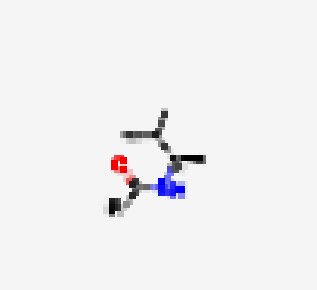 C=C(C)[C@@H](C)NC(=O)C(C)C